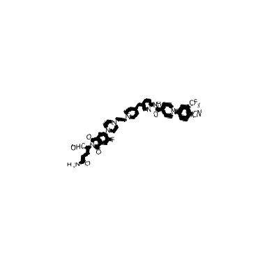 N#Cc1ccc(N2CCC(C(=O)Nc3ccc(CC4CCN(CCN5CCN(c6cc7c(cc6F)C(=O)N(C(C=O)CCC(N)=O)C7=O)CC5)CC4)cn3)CC2)cc1C(F)(F)F